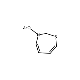 CC(=O)ON1C=CC=CSC1